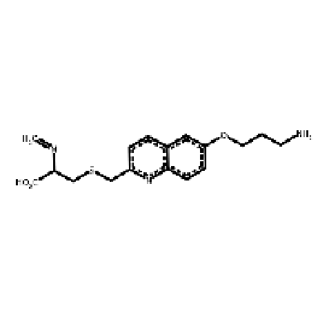 C=NC(CSCc1ccc2cc(OCCCN)ccc2n1)C(=O)O